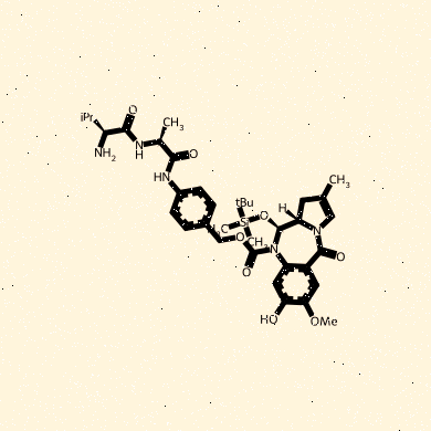 COc1cc2c(cc1O)N(C(=O)OCc1ccc(NC(=O)[C@H](C)NC(=O)[C@@H](N)C(C)C)cc1)[C@@H](O[Si](C)(C)C(C)(C)C)[C@@H]1CC(C)=CN1C2=O